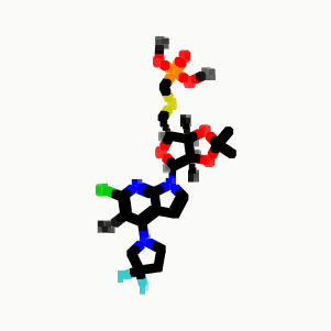 CCOP(=O)(CSC[C@H]1O[C@@H](n2ccc3c(N4CCC(F)(F)C4)c(C#N)c(Cl)nc32)[C@@H]2OC(C)(C)O[C@@H]21)OCC